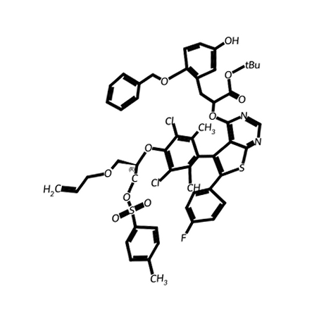 C=CCOC[C@H](COS(=O)(=O)c1ccc(C)cc1)Oc1c(Cl)c(C)c(-c2c(-c3ccc(F)cc3)sc3ncnc(OC(Cc4cc(O)ccc4OCc4ccccc4)C(=O)OC(C)(C)C)c23)c(C)c1Cl